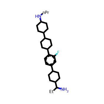 CCCNC1CCC(C2CCC(c3ccc(C4CCC(C(N)CC)CC4)cc3F)CC2)CC1